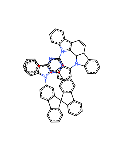 C1=CC2c3ccccc3N(c3ccccc3)C2c2c1c1ccccc1n2-c1nc(-c2ccccc2)nc(-c2ccc3c(c2)C2(c4ccccc4-3)c3ccccc3-c3ccc(-n4c5ccccc5c5ccccc54)cc32)n1